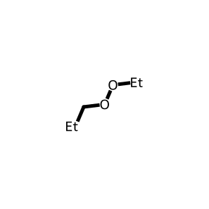 CCCOOCC